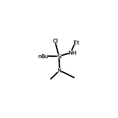 CCCC[Si](Cl)(NCC)N(C)C